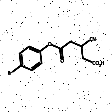 N#CC(CC(=O)O)CC(=O)Oc1ccc(Br)cc1